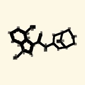 CC(C)n1nc(C(=O)NC2CC3COCC(C2)N3)c2c(O)cccc21